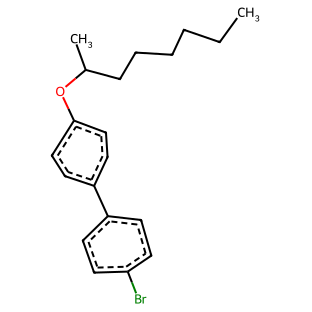 CCCCCCC(C)Oc1ccc(-c2ccc(Br)cc2)cc1